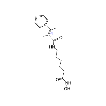 C/C(C(=O)NCCCCCC(=O)NO)=C(/C)c1ccccc1